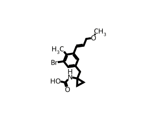 COCC=Cc1cc(CC2(NC(=O)O)CC2)cc(Br)c1C